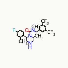 Cc1cc(F)ccc1C1CNCC(C)N1C(=O)N(C)Cc1cc(C(F)(F)F)cc(C(F)(F)F)c1